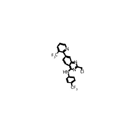 FC(F)(F)c1ccc(Nc2nc(CCl)nc3cc(-c4ncccc4C(F)(F)F)ccc23)cc1